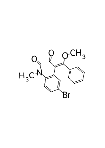 CO/C(=C(\C=O)c1cc(Br)ccc1N(C)C=O)c1ccccc1